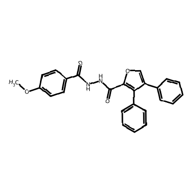 COc1ccc(C(=O)NNC(=O)c2occ(-c3ccccc3)c2-c2ccccc2)cc1